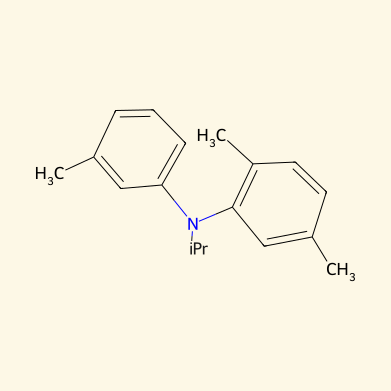 Cc1cccc(N(c2cc(C)ccc2C)C(C)C)c1